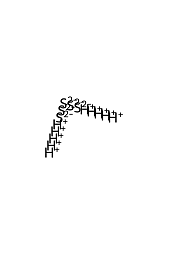 [H+].[H+].[H+].[H+].[H+].[H+].[H+].[H+].[H+].[H+].[S-2].[S-2].[S-2].[S-2].[S-2]